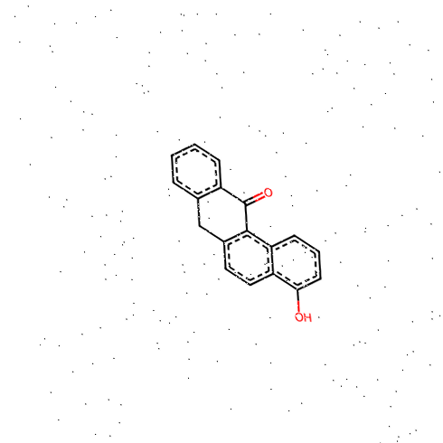 O=C1c2ccccc2Cc2ccc3c(O)cccc3c21